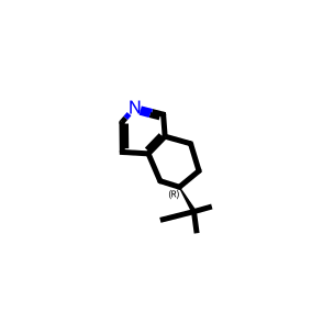 CC(C)(C)[C@@H]1CCc2cnccc2C1